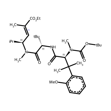 CCOC(=O)/C(C)=C/[C@H](C(C)C)N(C)C(=O)[C@@H](NC(=O)[C@@H](N(C)C(=O)OC(C)(C)C)C(C)(C)c1ccccc1OC)C(C)(C)C